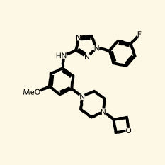 COc1cc(Nc2ncn(-c3cccc(F)c3)n2)cc(N2CCN(C3COC3)CC2)c1